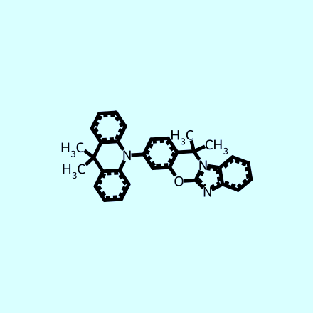 CC1(C)c2ccccc2N(c2ccc3c(c2)Oc2nc4ccccc4n2C3(C)C)c2ccccc21